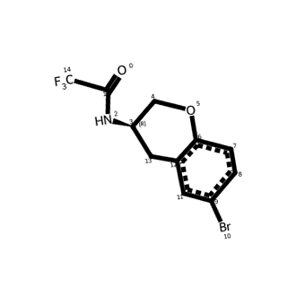 O=C(N[C@H]1COc2ccc(Br)cc2C1)C(F)(F)F